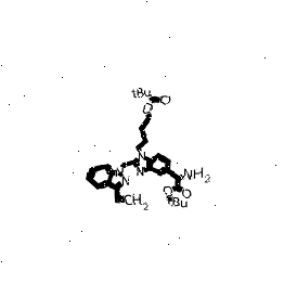 C=Cc1nn(Cc2nc3cc(C(N)C(=O)OC(C)(C)C)ccc3n2CCCCOC(=O)C(C)(C)C)c2ccccc12